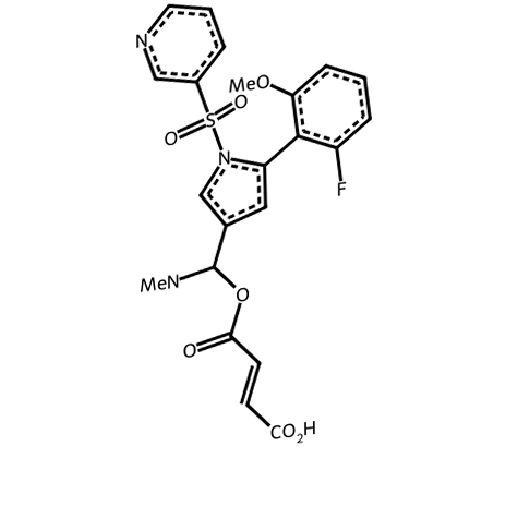 CNC(OC(=O)/C=C/C(=O)O)c1cc(-c2c(F)cccc2OC)n(S(=O)(=O)c2cccnc2)c1